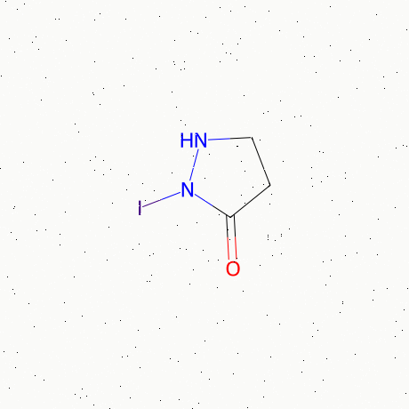 O=C1CCNN1I